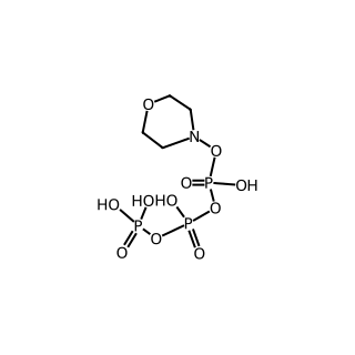 O=P(O)(O)OP(=O)(O)OP(=O)(O)ON1CCOCC1